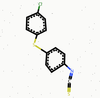 S=C=Nc1ccc(Sc2ccc(Cl)cc2)cc1